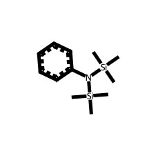 C[Si](C)(C)N(c1[c]cccc1)[Si](C)(C)C